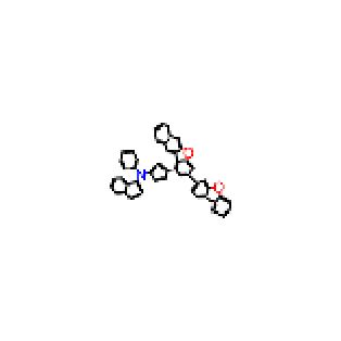 c1ccc(N(c2ccc(-c3cc(-c4ccc5c(c4)oc4ccccc45)cc4oc5cc6ccccc6cc5c34)cc2)c2cccc3ccccc23)cc1